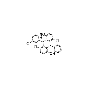 Oc1ccc(Cl)cc1C(c1cc(Cl)ccc1O)c1c(Cl)ccc(O)c1Cc1ccccc1